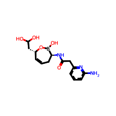 Nc1cccc(CC(=O)N[C@H]2CC=C[C@H](CC(O)O)OB2O)n1